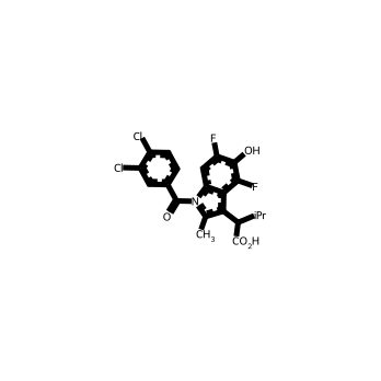 Cc1c(C(C(=O)O)C(C)C)c2c(F)c(O)c(F)cc2n1C(=O)c1ccc(Cl)c(Cl)c1